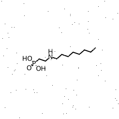 CCCCCCCCNCCP(=O)(O)O